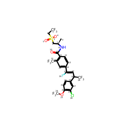 C[C@H](CS(=O)(=O)CC(F)(F)F)NC(=O)c1ccc(/C(F)=C/C(c2ccc(OC(F)(F)F)c(Cl)c2)C(F)(F)F)cc1C(F)(F)F